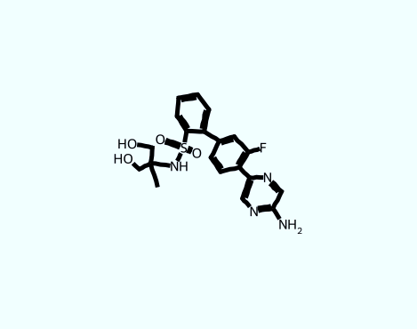 CC(CO)(CO)NS(=O)(=O)c1ccccc1-c1ccc(-c2cnc(N)cn2)c(F)c1